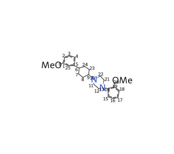 COc1cccc(C2CCC(N3CCN(c4ccccc4OC)CC3)CC2)c1